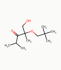 CC(C)C(=O)C(C)(CO)OCC(C)(C)C